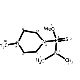 COP(=S)(N(C)C)N1CCN(C)CC1